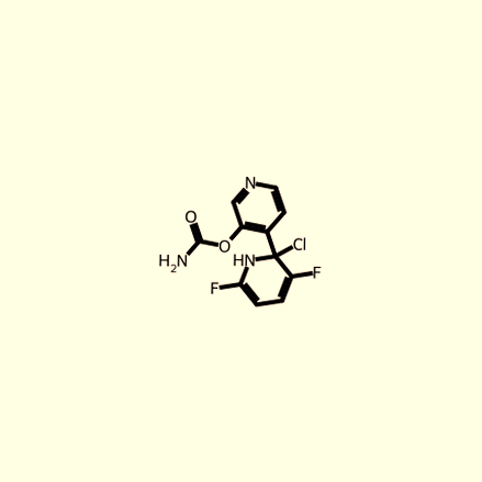 NC(=O)Oc1cnccc1C1(Cl)NC(F)=CC=C1F